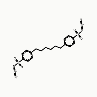 [N-]=[N+]=NS(=O)(=O)c1ccc(CCCCCCc2ccc(S(=O)(=O)N=[N+]=[N-])cc2)cc1